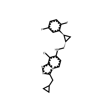 Fc1ccc(F)c([C@H]2C[C@@H]2CNc2ccn3c(CC4CC4)nnc3c2Cl)c1